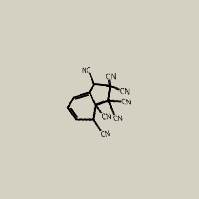 N#CC1C2=CC=CC(C#N)C2(C#N)C(C#N)(C#N)C1(C#N)C#N